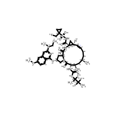 CCN(C)c1cc2cc(OC)ccc2c(O[C@@H]2C[C@H]3C(=O)N[C@]4(C(=O)NS(=O)(=O)C5(CF)CC5)C[C@H]4/C=C\CC[C@@H](C)C[C@@H](C)[C@H](NC(=O)OC(C)(C)C(C)(F)F)C(=O)N3C2)n1